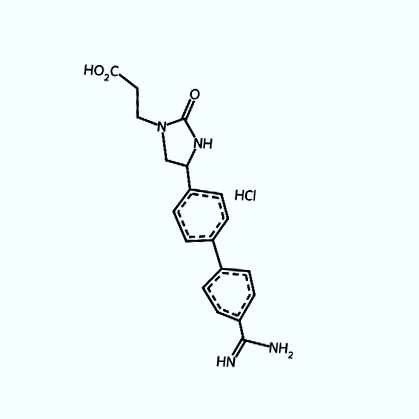 Cl.N=C(N)c1ccc(-c2ccc(C3CN(CCC(=O)O)C(=O)N3)cc2)cc1